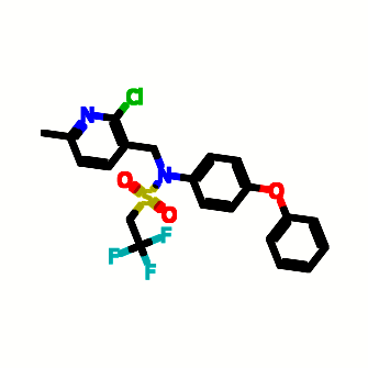 Cc1ccc(CN(c2ccc(Oc3ccccc3)cc2)S(=O)(=O)CC(F)(F)F)c(Cl)n1